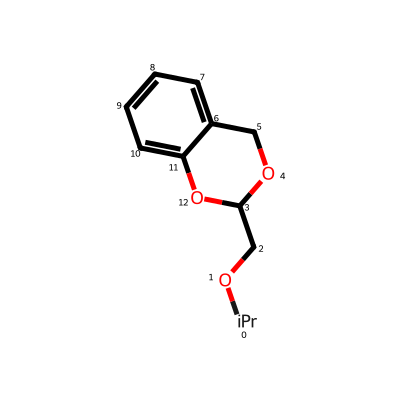 CC(C)OCC1OCc2ccccc2O1